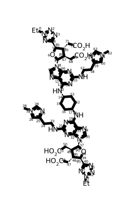 CCn1nnc([C@@H]2O[C@@H](n3cnc4c(N[C@H]5CC[C@H](Nc6nc(NCCc7cn(C)cn7)nc7c6ncn7[C@@H]6O[C@@H](c7nnn(CC)n7)[C@H](CC(=O)O)[C@H]6CC(=O)O)CC5)nc(NCCc5cn(C)cn5)nc43)[C@H](CC(=O)O)[C@H]2CC(=O)O)n1